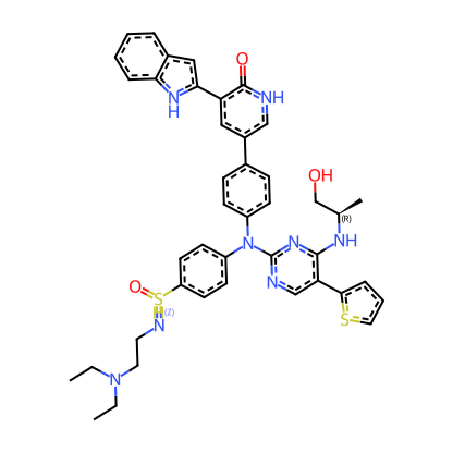 CCN(CC)CC/N=[SH](=O)/c1ccc(N(c2ccc(-c3c[nH]c(=O)c(-c4cc5ccccc5[nH]4)c3)cc2)c2ncc(-c3cccs3)c(N[C@H](C)CO)n2)cc1